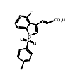 Cc1ccc(S(=O)(=O)n2cc(C=CC(=O)O)c3c(F)cccc32)cc1